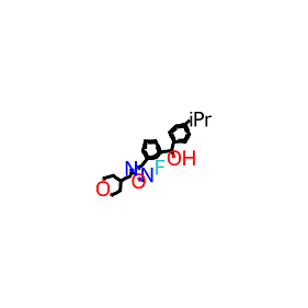 CC(C)c1ccc(C(O)c2cccc(-c3noc(C4CCOCC4)n3)c2F)cc1